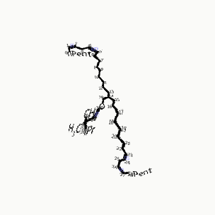 CCCCC/C=C\C/C=C\CCCCCCCCC(CCCCCCCC/C=C\C/C=C\CCCCC)CO/C=C/C(C)(C)C(C)C